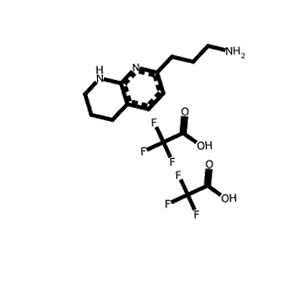 NCCCc1ccc2c(n1)NCCC2.O=C(O)C(F)(F)F.O=C(O)C(F)(F)F